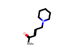 CNC(=O)/C=C/CN1CCCCC1